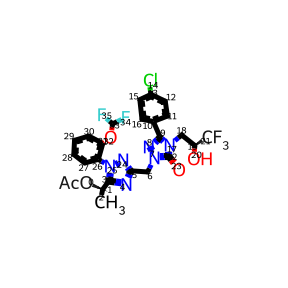 CC(=O)O[C@H](C)c1nc(Cn2nc(-c3ccc(Cl)cc3)n(C[C@H](O)C(F)(F)F)c2=O)nn1-c1ccccc1OC(F)F